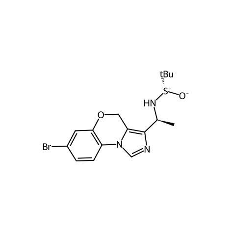 C[C@H](N[S@@+]([O-])C(C)(C)C)c1ncn2c1COc1cc(Br)ccc1-2